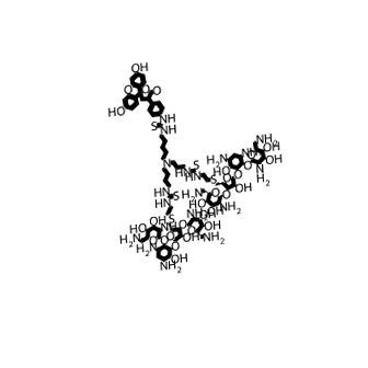 NCC1O[C@@H](O[C@@H]2C(N)C[C@@H](N)C(O)[C@H]2OC2O[C@H](CSCCNC(=S)NCCCCN(CCCCCNC(=S)Nc3ccc(C4CC5(OC4=O)c4ccc(O)cc4Oc4cc(O)ccc45)cc3)CCCNC(=S)NCCSC[C@H]3OC(O[C@@H]4C(O)[C@H](N)CC(N)[C@H]4O[C@@H]4OC(CN)[C@@H](O)[C@H](O)C4N)[C@@H](O)[C@H]3O[C@H]3O[C@@H](CN)[C@@H](O)C(O)C3N)[C@H](O[C@H]3O[C@@H](CN)[C@@H](O)C(O)C3N)[C@@H]2O)C(N)[C@@H](O)[C@@H]1O